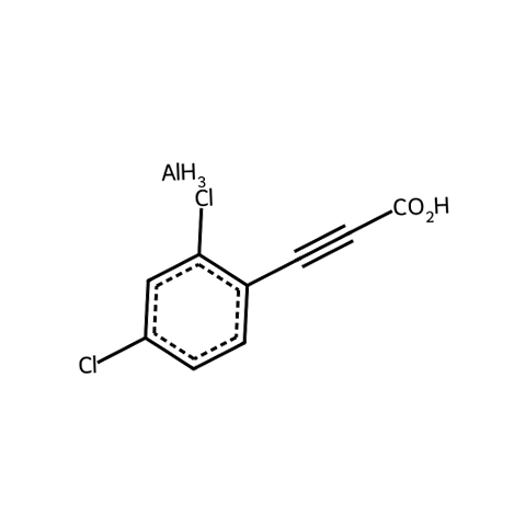 O=C(O)C#Cc1ccc(Cl)cc1Cl.[AlH3]